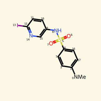 CNc1ccc(S(=O)(=O)Nc2ccc(I)nc2)cc1